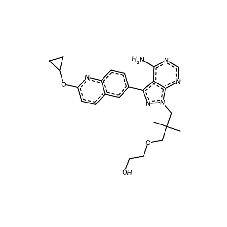 CC(C)(COCCO)Cn1nc(-c2ccc3nc(OC4CC4)ccc3c2)c2c(N)ncnc21